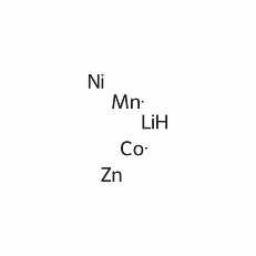 [Co].[LiH].[Mn].[Ni].[Zn]